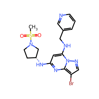 CS(=O)(=O)N1CC[C@@H](Nc2cc(NCc3cccnc3)n3ncc(Br)c3n2)C1